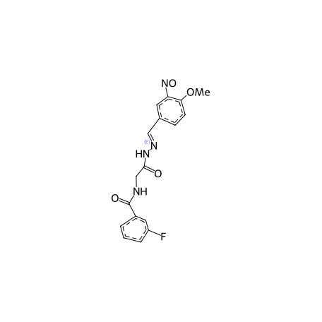 COc1ccc(/C=N/NC(=O)CNC(=O)c2cccc(F)c2)cc1N=O